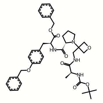 C[C@H](NC(=O)OC(C)(C)C)C(=O)NCC1(N2CCC[C@H]2C(=O)N[C@@H](Cc2ccc(OCc3ccccc3)cc2)C(=O)OCc2ccccc2)COC1